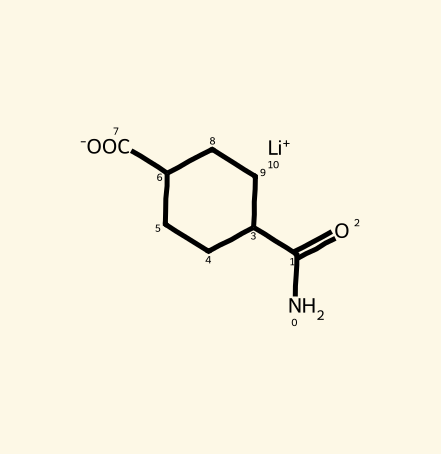 NC(=O)C1CCC(C(=O)[O-])CC1.[Li+]